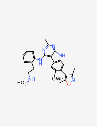 COc1cc2c(cc1-c1c(C)noc1C)[nH]c1nc(C)nc(Nc3ccccc3CCNC(=O)O)c12